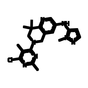 Cc1nc(Cl)c(C)c(N2Cc3cc(Nc4ccnn4C)cnc3C(C)(C)C2)n1